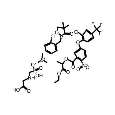 CC1(C)CON(Cc2ccccc2Cl)C1=O.CCOC(=O)C(C)OC(=O)c1cc(Oc2ccc(C(F)(F)F)cc2Cl)ccc1[N+](=O)[O-].C[S+](C)C.O=C(O)CNCP(=O)([O-])O